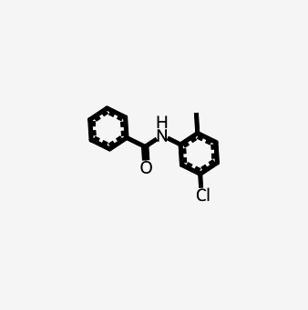 Cc1ccc(Cl)cc1NC(=O)c1ccccc1